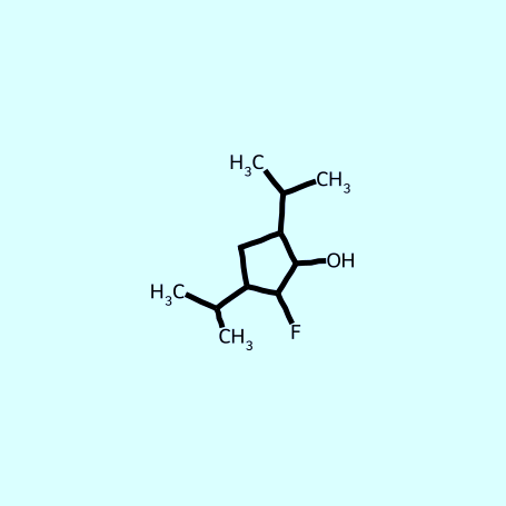 CC(C)C1CC(C(C)C)C(F)C1O